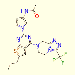 CCCc1cc2c(N3CCn4c(nnc4C(F)(F)F)C3)nc(-n3ccc(NC(C)=O)c3)nc2s1